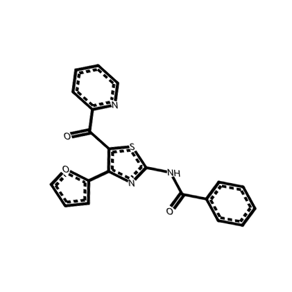 O=C(Nc1nc(-c2ccco2)c(C(=O)c2ccccn2)s1)c1ccccc1